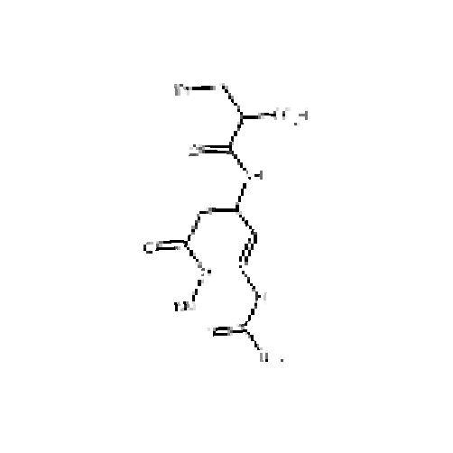 CC(C)CC(C(=O)O)C(=O)NC(C=NNC(N)=O)CC(=O)OC(C)(C)C